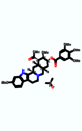 COC(=O)[C@H]1[C@H]2C[C@@H]3c4[nH]c5cc(OC)ccc5c4CCN3C[C@H]2C[C@@H](OC(=O)c2cc(OC)c(OC)c(OC)c2)[C@@H]1OC.C[SiH](C)[O]